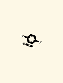 Brc1ccc(Br)cc1.N=C=S